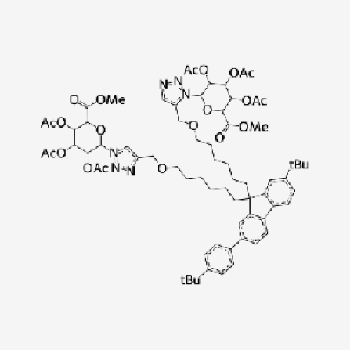 COC(=O)C1OC(n2cc(COCCCCCCC3(CCCCCCOCc4cnnn4C4OC(C(=O)OC)C(OC(C)=O)C(OC(C)=O)C4OC(C)=O)c4cc(-c5ccc(C(C)(C)C)cc5)ccc4-c4ccc(C(C)(C)C)cc43)nn2)C(OC(C)=O)C(OC(C)=O)C1OC(C)=O